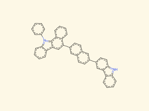 c1ccc(-n2c3ccccc3c3cc(-c4ccc5cc(-c6ccc7[nH]c8ccccc8c7c6)ccc5c4)c4ccccc4c32)cc1